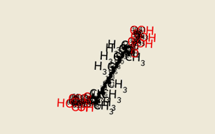 CC1=C(/C=C/C(C)=C/C=C/C(C)=C/C=C/C=C(C)/C=C/C=C(C)/C=C/C2=C(C)C(=O)C(OC(=O)C(O)C3OC(=O)C(O)=C3O)CC2(C)C)C(C)(C)CC(OC(=O)C(O)C2OCOC(O)=C2O)C1=O